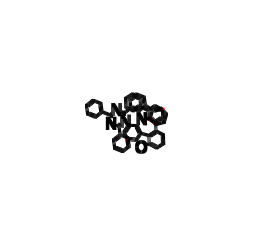 c1ccc(-c2cccc(-c3cccc4oc5cccc(-n6c7ccccc7c7cccc(-c8nc(-c9ccccc9)nc(-c9ccccc9)n8)c76)c5c34)c2)cc1